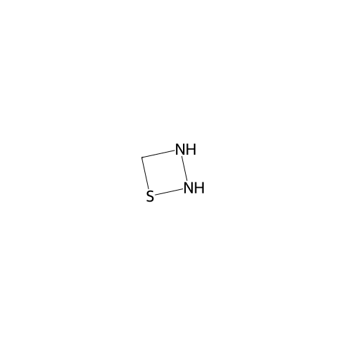 C1NNS1